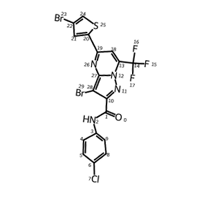 O=C(Nc1ccc(Cl)cc1)c1nn2c(C(F)(F)F)cc(-c3cc(Br)cs3)nc2c1Br